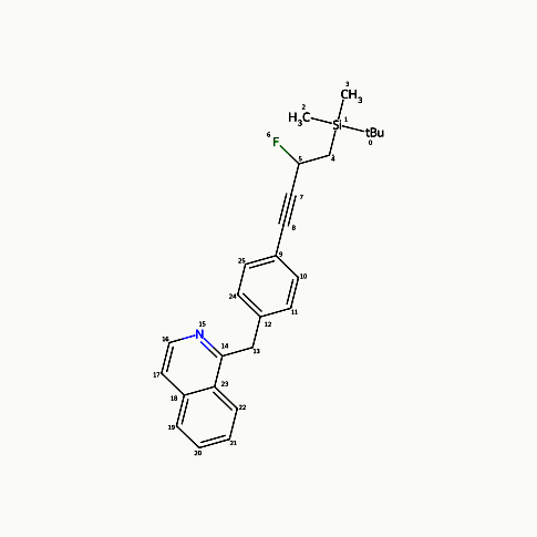 CC(C)(C)[Si](C)(C)[CH]C(F)C#Cc1ccc(Cc2nccc3ccccc23)cc1